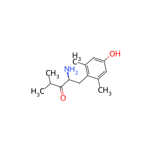 Cc1cc(O)cc(C)c1C[C@H](N)C(=O)C(C)C